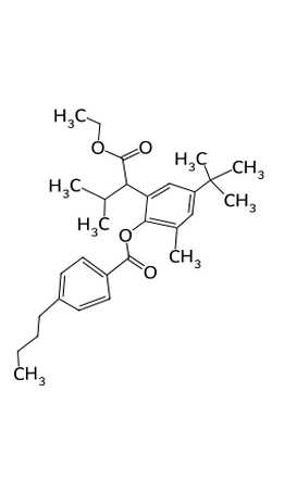 CCCCc1ccc(C(=O)Oc2c(C)cc(C(C)(C)C)cc2C(C(=O)OCC)C(C)C)cc1